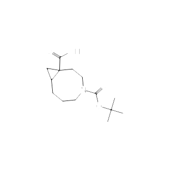 CC(C)(C)OC(=O)N1CCCC2CC2(C(=O)O)CC1